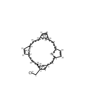 ClCc1cc2cc3nc(cc4ccc(cc5nc(cc1[nH]2)C=C5)[nH]4)C=C3